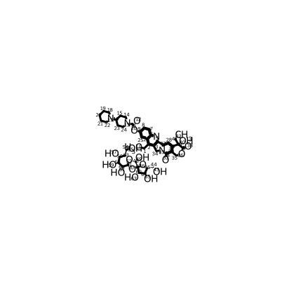 CCc1c2c(nc3ccc(OC(=O)N4CCC(N5CCCCC5)CC4)cc13)-c1cc3c(c(=O)n1C2)COC(=O)[C@]3(O)CC.OC[C@H]1O[C@@](CO)(O[C@H]2O[C@H](CO)[C@@H](O)[C@H](O)[C@H]2O)[C@@H](O)[C@@H]1O